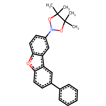 CC1(C)ON(c2ccc3oc4ccc(-c5ccccc5)cc4c3c2)OC1(C)C